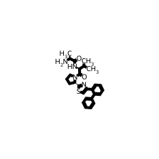 CC(C)[C@H](NC(=O)[C@H](C)N)C(=O)N1CCC[C@H]1c1nc(-c2ccccc2-c2ccccc2)cs1